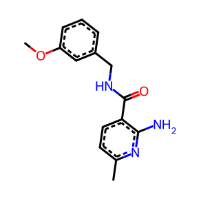 COc1cccc(CNC(=O)c2ccc(C)nc2N)c1